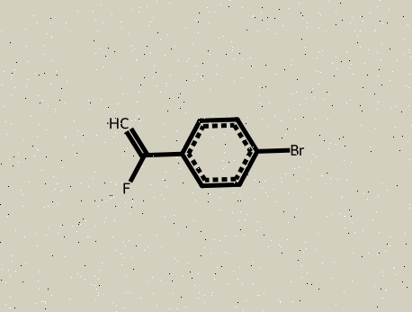 [CH]=C(F)c1ccc(Br)cc1